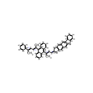 C/C(=C\C=C(/C)c1c2ccccc2c(/C(C)=C/C=C2\Cc3cc4cc5c(cc4cc3S2)sc2ccccc25)c2ccccc12)c1ccccc1